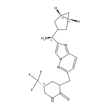 N[C@H](c1cn2nc(CC3C[C@@H](C(F)(F)F)CNC3=O)ccc2n1)C1C[C@@H]2C[C@@H]2C1